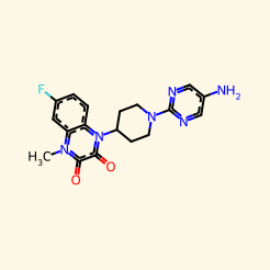 Cn1c(=O)c(=O)n(C2CCN(c3ncc(N)cn3)CC2)c2ccc(F)cc21